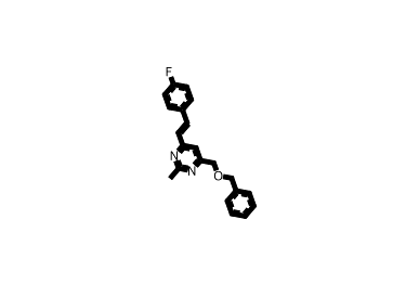 Cc1nc(/C=C/c2ccc(F)cc2)cc(COCc2ccccc2)n1